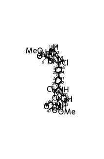 COC(=O)N[C@@H](C)C(=O)N1[C@@H]2C[C@@H]2C[C@H]1c1nc(Cl)c(-c2ccc(-c3ccc(-c4[nH]c([C@@H]5C[C@H]6C[C@H]6N5C(=O)[C@@H](NC(=O)OC)C5CCOCC5)nc4Cl)cc3)cc2)[nH]1